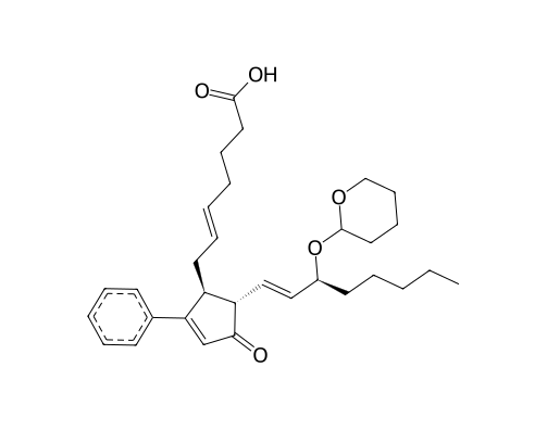 CCCCC[C@@H](/C=C/[C@@H]1C(=O)C=C(c2ccccc2)[C@H]1CC=CCCCC(=O)O)OC1CCCCO1